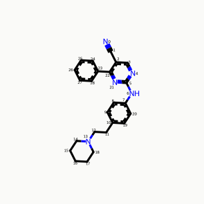 N#Cc1cnc(Nc2ccc(CCN3CCCCC3)cc2)nc1-c1ccccc1